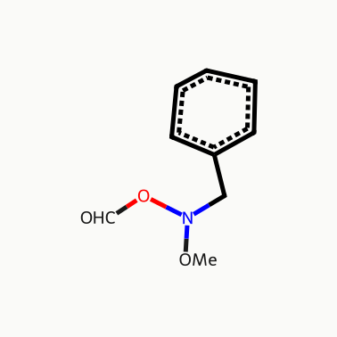 CON(Cc1ccccc1)OC=O